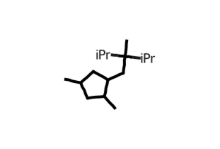 CC1CC(C)C(CC(C)(C(C)C)C(C)C)C1